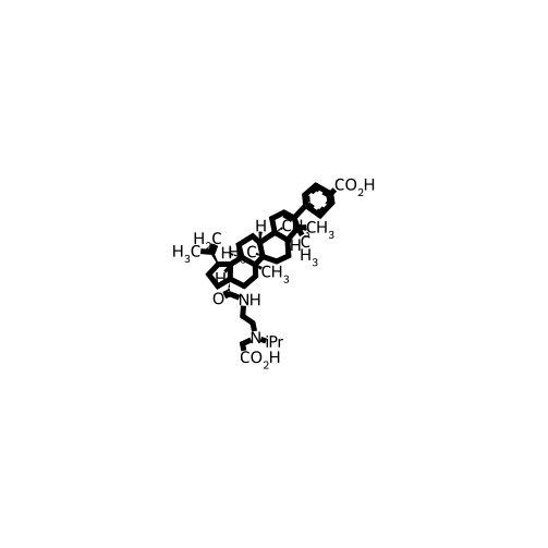 C=C(C)[C@@H]1CC[C@]2(C(=O)NCCN(CC(=O)O)C(C)C)CC[C@]3(C)[C@H](CC[C@@H]4[C@@]5(C)CC=C(c6ccc(C(=O)O)cc6)C(C)(C)[C@@H]5CC[C@]43C)[C@@H]12